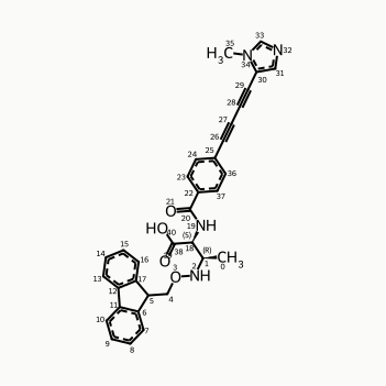 C[C@@H](NOCC1c2ccccc2-c2ccccc21)[C@H](NC(=O)c1ccc(C#CC#Cc2cncn2C)cc1)C(=O)O